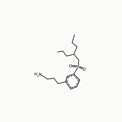 CCCC(CCC)CS(=O)(=O)c1cccc(CCCN)c1